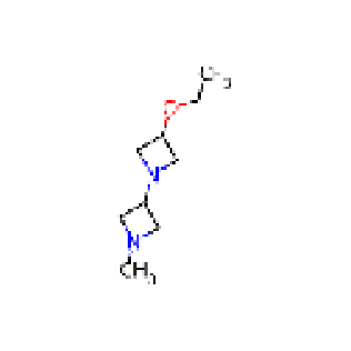 CN1CC(N2CC(OCC(F)(F)F)C2)C1